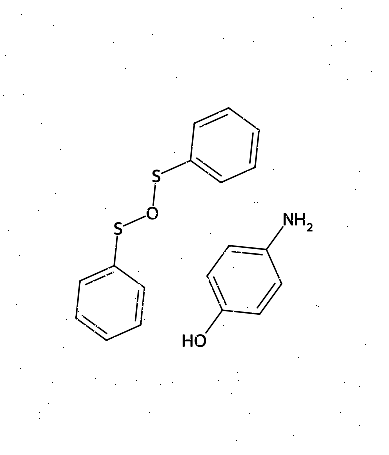 Nc1ccc(O)cc1.c1ccc(SOSc2ccccc2)cc1